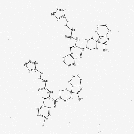 CCCC(=O)C1(C2CCCCC2)CCN(C(=O)[C@@H](Cc2ccc(F)cc2)NC(=O)NCCc2c[nH]cn2)CC1.CCCC(=O)C1(C2CCCCC2)CCN(C(=O)[C@@H](Cc2ccccc2)NC(=O)NCCc2c[nH]cn2)CC1